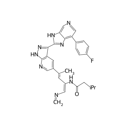 C=N/C=C(\C=C(/C)c1cnc2[nH]nc(-c3nc4c(-c5ccc(F)cc5)cncc4[nH]3)c2c1)NC(=O)CC(C)C